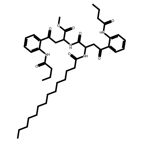 CCCCCCCCCCCCCC(=O)NC(CC(=O)c1ccccc1NC(=O)CCC)C(=O)NC(CC(=O)c1ccccc1NC(=O)CCC)C(=O)OC